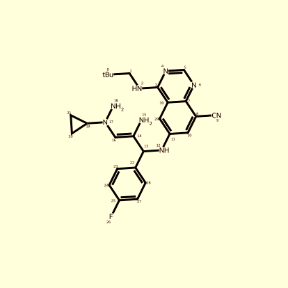 CC(C)(C)CNc1ncnc2c(C#N)cc(NC(/C(N)=C/N(N)C3CC3)c3ccc(F)cc3)cc12